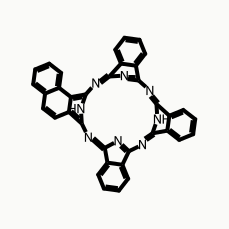 c1ccc2c(c1)-c1nc-2nc2[nH]c(nc3nc(nc4[nH]c(n1)c1ccccc41)-c1ccccc1-3)c1c3ccccc3ccc21